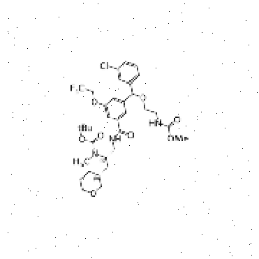 COC(=O)NCCOC(c1cccc(Cl)c1)c1cc(OCC(F)(F)F)cc(C(=O)NC[C@H](C[C@H]2CCCOC2)N(C)C(=O)OC(C)(C)C)c1